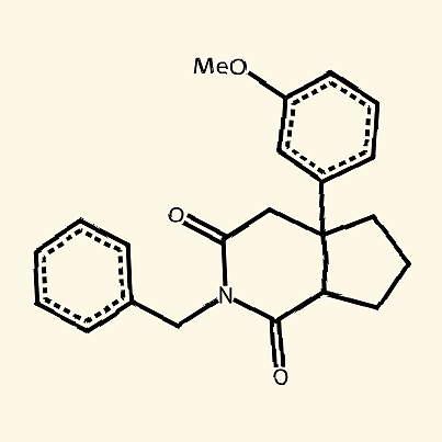 COc1cccc(C23CCCC2C(=O)N(Cc2ccccc2)C(=O)C3)c1